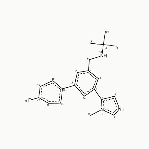 Cn1cncc1-c1cc(CNC(C)(C)C)cc(-c2ccc(F)cc2)c1